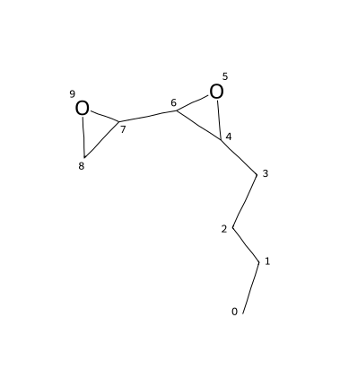 CCCCC1OC1C1CO1